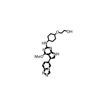 COc1nc(NC2CCC(OCCO)CC2)nc2[nH]cc(-c3ccc4nncn4c3)c12